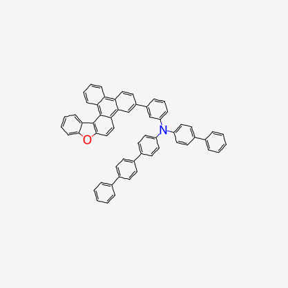 c1ccc(-c2ccc(-c3ccc(N(c4ccc(-c5ccccc5)cc4)c4cccc(-c5ccc6c7ccccc7c7c(ccc8oc9ccccc9c87)c6c5)c4)cc3)cc2)cc1